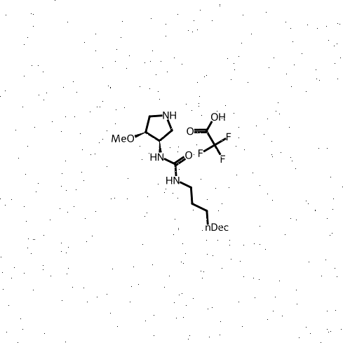 CCCCCCCCCCCCCNC(=O)N[C@@H]1CNC[C@@H]1OC.O=C(O)C(F)(F)F